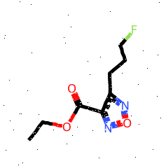 CCOC(=O)c1nonc1CCCF